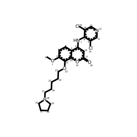 COc1ccc2c(Nc3c(Cl)cncc3Cl)cc(=O)oc2c1OCCCCCN1CCCC1